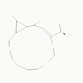 CCC1C2CCCCCCCCC/C([C@@H](C)NC)=C\[C@@](C)(CC)C12